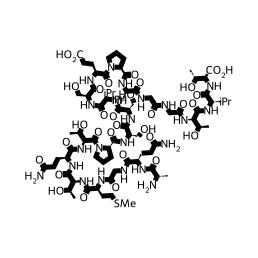 CSCC[C@H](NC(=O)CNC(=O)[C@H](CCC(N)=O)NC(=O)[C@H](C)N)C(=O)N[C@H](C(=O)N[C@@H](CCC(N)=O)C(=O)N[C@H](C(=O)N1CCC[C@H]1C(=O)N[C@@H](CO)C(=O)N[C@@H](CO)C(=O)N[C@H](C(=O)N[C@@H](CO)C(=O)N[C@@H](CCC(=O)O)C(=O)N1CCC[C@H]1C(=O)N[C@H](C(=O)NCC(=O)NCC(=O)N[C@H](C(=O)N[C@H](C(=O)N[C@H](C(=O)O)[C@@H](C)O)C(C)C)[C@@H](C)O)C(C)C)C(C)C)[C@@H](C)O)[C@@H](C)O